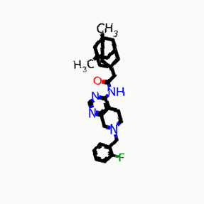 CC12CC3CC(C)(C1)CC(CC(=O)Nc1ncnc4c1CCN(Cc1ccccc1F)C4)(C3)C2